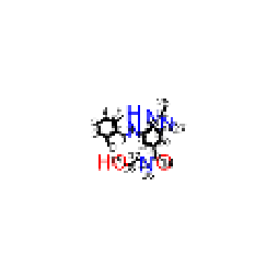 Cc1cccc(C)c1CNc1cc(C(=O)N(C)CCO)cc2c1nc(C)n2C